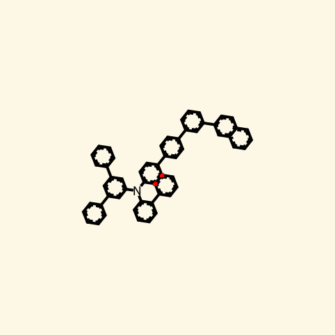 c1ccc(-c2cc(-c3ccccc3)cc(N(c3ccc(-c4ccc(-c5cccc(-c6ccc7ccccc7c6)c5)cc4)cc3)c3ccccc3-c3ccccc3)c2)cc1